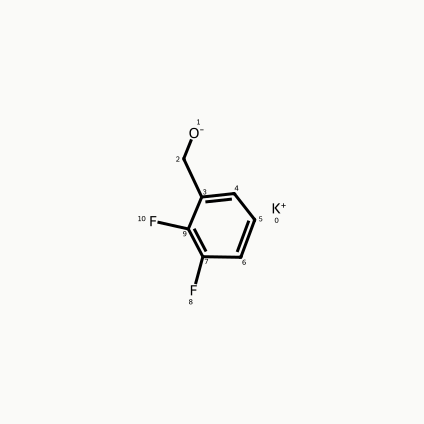 [K+].[O-]Cc1cccc(F)c1F